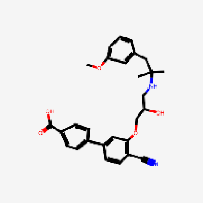 COc1cccc(CC(C)(C)NCC(O)COc2cc(-c3ccc(C(=O)O)cc3)ccc2C#N)c1